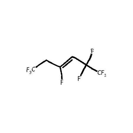 FC(=CC(F)(F)C(F)(F)F)CC(F)(F)F